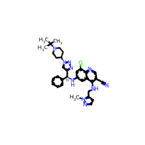 Cn1nccc1CNc1c(C#N)cnc2c(Cl)cc(N[C@@H](c3ccccc3)c3cn(C4CCN(C(C)(C)C)CC4)nn3)cc12